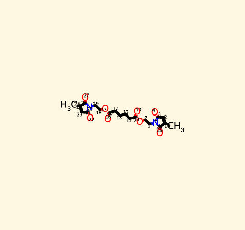 CC1=CC(=O)N(CCOC(=O)CCCCC(=O)OCCN2C(=O)C=C(C)C2=O)C1=O